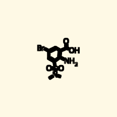 CN(C)S(=O)(=O)c1cc(Br)cc(C(=O)O)c1N